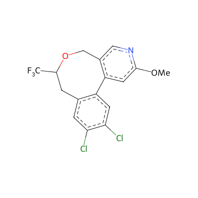 COc1cc2c(cn1)COC(C(F)(F)F)Cc1cc(Cl)c(Cl)cc1-2